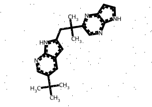 CC(C)(C)c1cnc2[nH]c(CC(C)(C)c3cnc4[nH]ccc4n3)cc2c1